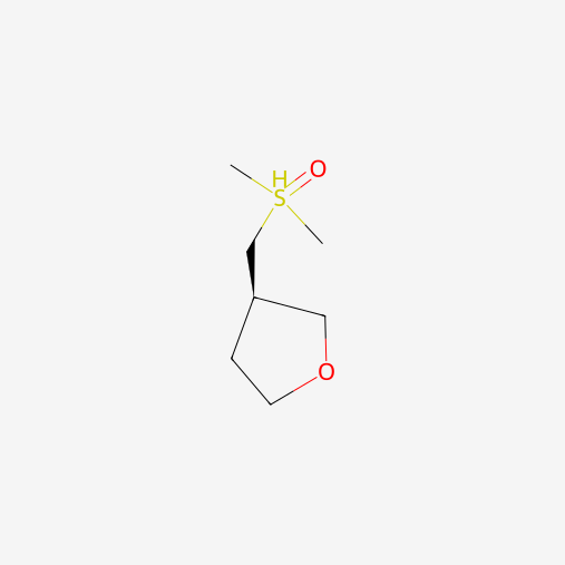 C[SH](C)(=O)C[C@@H]1CCOC1